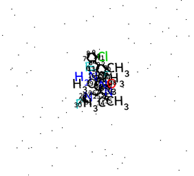 Cc1cc(-c2c(F)cccc2Cl)c(F)c(C(N)(C(C)C)C(C)n2cc(CCN3CC(F)C3)c(C(C)C)nc2=O)c1F